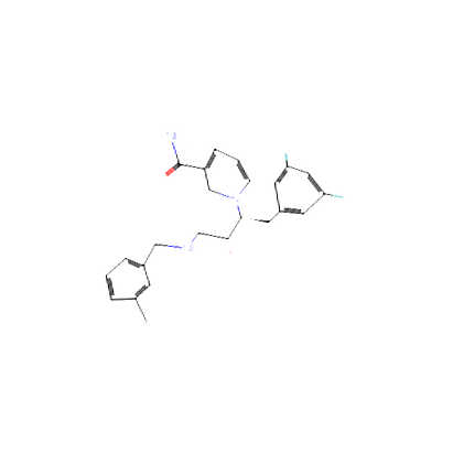 CCc1cccc(CNC[C@@H](O)[C@H](Cc2cc(F)cc(F)c2)N2C=CC=C(C(N)=O)C2)c1